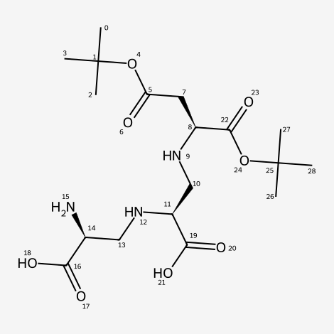 CC(C)(C)OC(=O)C[C@H](NC[C@H](NC[C@H](N)C(=O)O)C(=O)O)C(=O)OC(C)(C)C